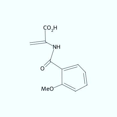 C=C(NC(=O)c1ccccc1OC)C(=O)O